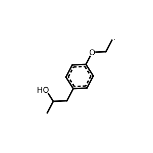 [CH2]COc1ccc(CC(C)O)cc1